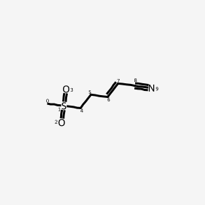 CS(=O)(=O)CCC=CC#N